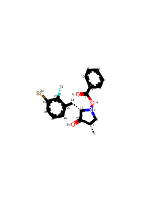 C[C@H]1CN(OC(=O)c2ccccc2)[C@@H](Cc2cccc(Br)c2F)C1=O